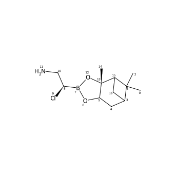 CC1(C)C2CC3OB([C@@H](Cl)CN)O[C@]3(C)C1C2